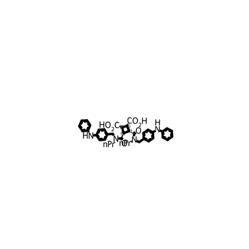 CCCN(Cc1ccc(Nc2ccccc2)cc1)C(=O)[C@H]1[C@@H](C(=O)O)[C@H](C(=O)O)[C@@H]1C(=O)N(CCC)Cc1ccc(Nc2ccccc2)cc1